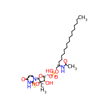 CCCCCCCCCCCCCCCC[C@H](COP(=O)(O)OC[C@H]1O[C@@H](n2ccc(=O)[nH]c2=S)[C@](C)(O)C1O)NC(C)=O